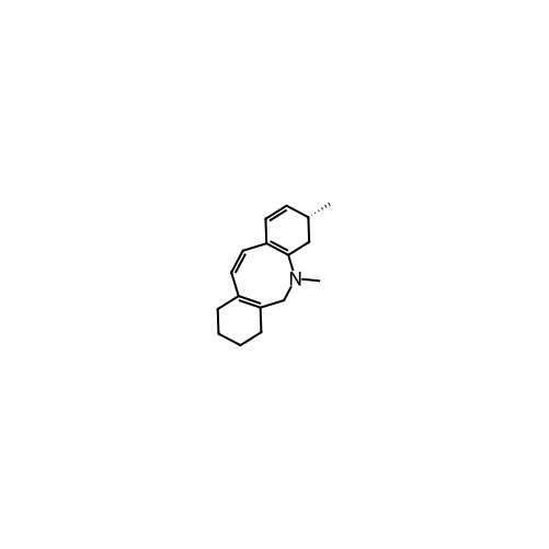 C[C@H]1C=CC2=C(C1)N(C)CC1=C(/C=C\2)CCCC1